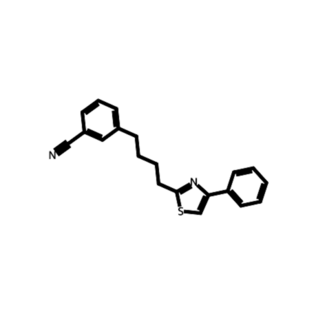 N#Cc1cccc(CCCCc2nc(-c3ccccc3)cs2)c1